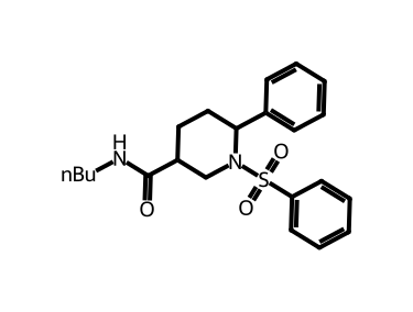 CCCCNC(=O)C1CCC(c2ccccc2)N(S(=O)(=O)c2ccccc2)C1